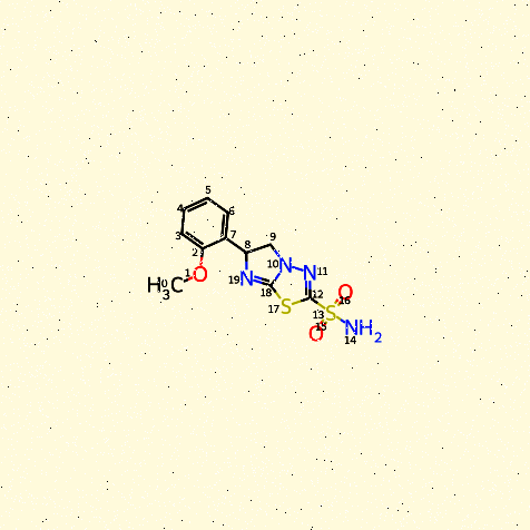 COc1ccccc1C1CN2N=C(S(N)(=O)=O)SC2=N1